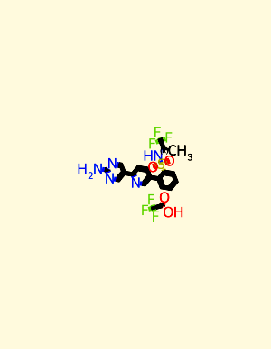 C[C@@H](NS(=O)(=O)c1ccccc1-c1ccc(-c2cnc(N)nc2)nc1)C(F)(F)F.O=C(O)C(F)(F)F